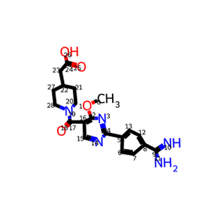 COc1nc(-c2ccc(C(=N)N)cc2)ncc1C(=O)N1CCC(CC(=O)O)CC1